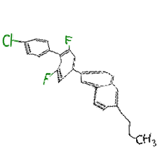 CCCc1ccc2cc(-c3cc(F)c(-c4ccc(Cl)cc4)c(F)c3)ccc2c1